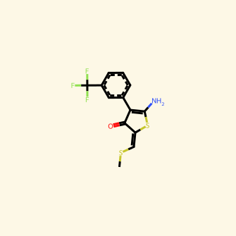 CSC=C1SC(N)=C(c2cccc(C(F)(F)F)c2)C1=O